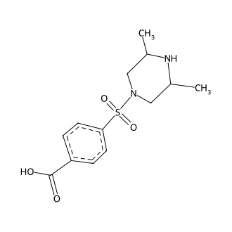 CC1CN(S(=O)(=O)c2ccc(C(=O)O)cc2)CC(C)N1